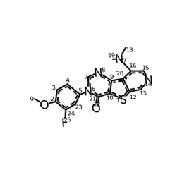 COc1ccc(-n2cnc3c(sc4cncc(N(C)C)c43)c2=O)cc1F